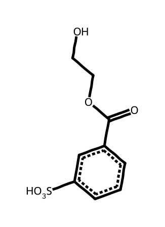 O=C(OCCO)c1cccc(S(=O)(=O)O)c1